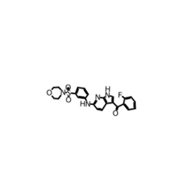 O=C(c1ccccc1F)c1c[nH]c2nc(Nc3cccc(S(=O)(=O)N4CCOCC4)c3)ccc12